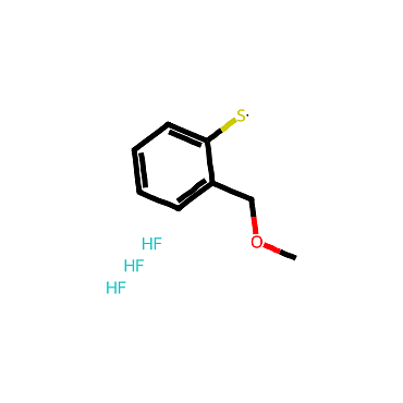 COCc1ccccc1[S].F.F.F